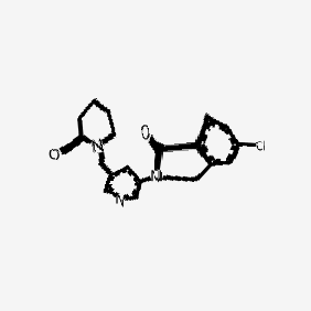 O=C1CCCCN1Cc1cncc(N2Cc3cc(Cl)ccc3C2=O)c1